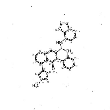 C[C@H](Nc1ccnn2ccnc12)c1cc2cccc(-c3cnn(C)c3)c2c(=O)n1-c1ccccc1